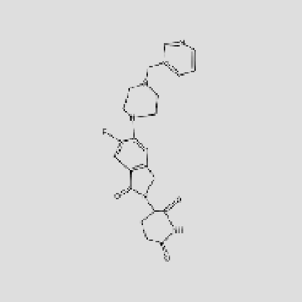 O=C1CCC(N2Cc3cc(N4CCN(Cc5cccnc5)CC4)c(F)cc3C2=O)C(=O)N1